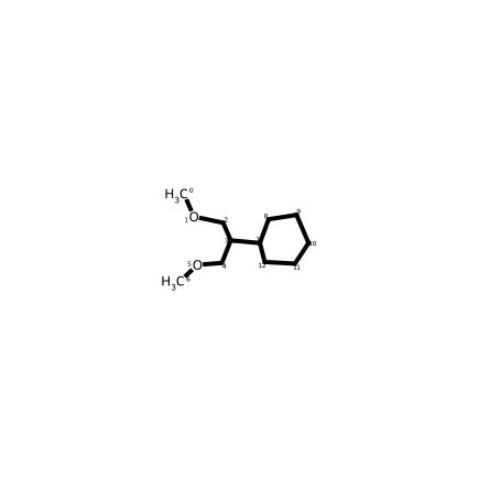 COC[C](COC)C1CCCCC1